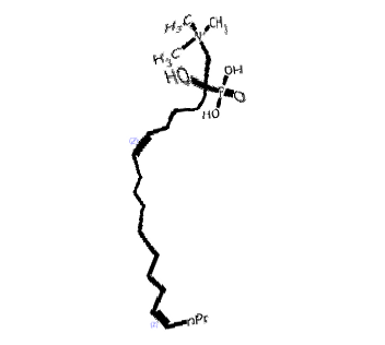 CCC/C=C\CCCCCCC/C=C\CCCC(O)(C[N+](C)(C)C)P(=O)(O)O